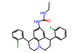 CCNC(=O)Nc1cc2c3c(c1)C(c1ccccc1F)CCN3CCC2c1ccccc1F